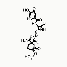 NC(=O)C1(C(=O)NOC[C@H]2NC(=O)[C@H]2NC(=O)c2cc(=O)c(O)c[nH]2)CCC2CN1C(=O)N2OS(=O)(=O)O